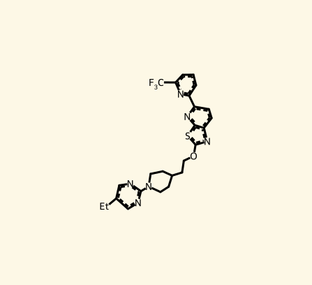 CCc1cnc(N2CCC(CCOc3nc4ccc(-c5cccc(C(F)(F)F)n5)nc4s3)CC2)nc1